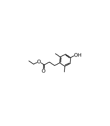 CCOC(=O)CCc1c(C)cc(O)cc1C